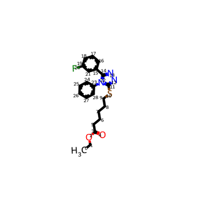 CCOC(=O)CCCCCSc1nnc(-c2cccc(F)c2)n1-c1ccccc1